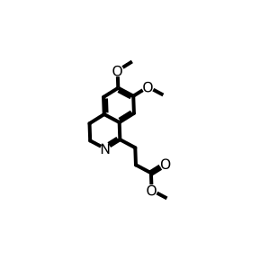 COC(=O)CCC1=NCCc2cc(OC)c(OC)cc21